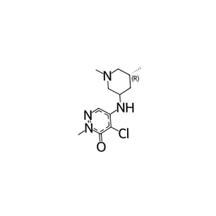 C[C@@H]1CC(Nc2cnn(C)c(=O)c2Cl)CN(C)C1